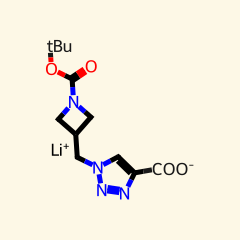 CC(C)(C)OC(=O)N1CC(Cn2cc(C(=O)[O-])nn2)C1.[Li+]